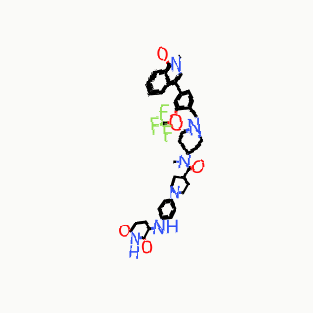 CN(C(=O)C1CCN(c2ccc(NC3CCC(=O)NC3=O)cc2)CC1)C1CCN(Cc2ccc(-c3cn(C)c(=O)c4ccccc34)cc2OC(F)(F)F)CC1